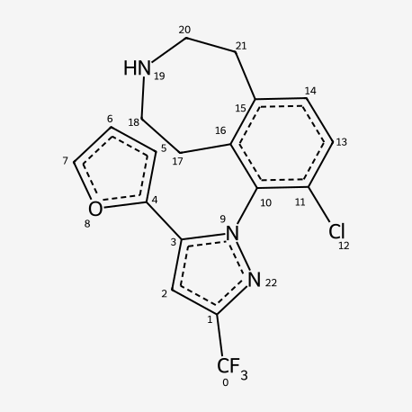 FC(F)(F)c1cc(-c2ccco2)n(-c2c(Cl)ccc3c2CCNCC3)n1